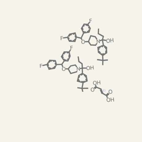 CCCC(O)(c1ccc(C(C)(C)C)cc1)N1CCC(OC(c2ccc(F)cc2)c2ccc(F)cc2)CC1.CCCC(O)(c1ccc(C(C)(C)C)cc1)N1CCC(OC(c2ccc(F)cc2)c2ccc(F)cc2)CC1.O=C(O)/C=C/C(=O)O